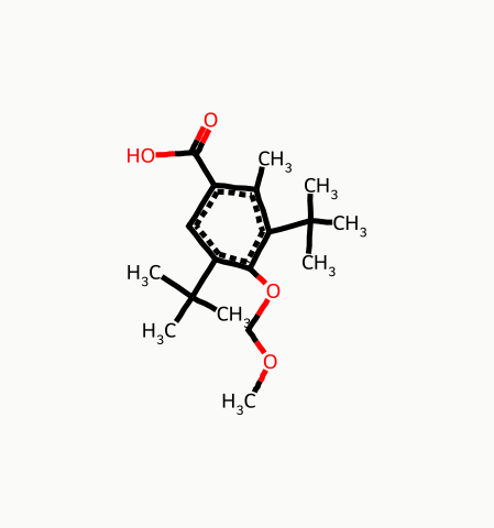 COCOc1c(C(C)(C)C)cc(C(=O)O)c(C)c1C(C)(C)C